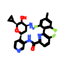 Cc1cc(F)c(-c2nc(C(=O)Nc3cnccc3[C@H]3C[C@@H](N)[C@H](O)[C@@H](C4CC4)O3)ccc2F)c(F)c1